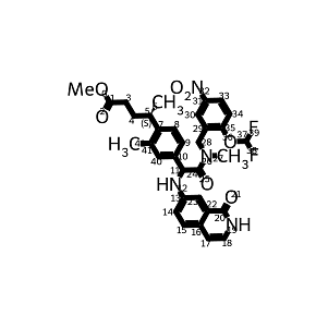 COC(=O)CC[C@H](C)c1ccc(C(Nc2ccc3cc[nH]c(=O)c3c2)C(=O)N(C)Cc2cc([N+](=O)[O-])ccc2OC(F)F)cc1C